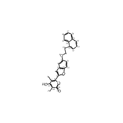 Cc1c(-c2cc3cc(OCCc4cccc5ccccc45)ccc3o2)oc(=O)c(C)c1O